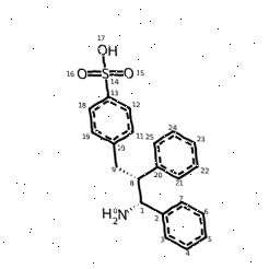 N[C@@H](c1ccccc1)[C@H](Cc1ccc(S(=O)(=O)O)cc1)c1ccccc1